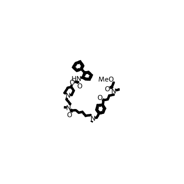 COCC(=O)N(C)CCCC(=O)c1ccc(CN(C)CCCCCC(=O)N(C)CCN2CCC(OC(=O)Nc3ccccc3-c3ccccc3)CC2)cc1